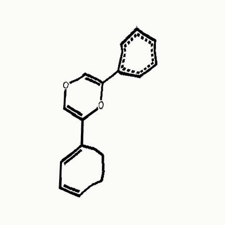 [c]1cccc(C2=COC=C(C3=CC=CCC3)O2)c1